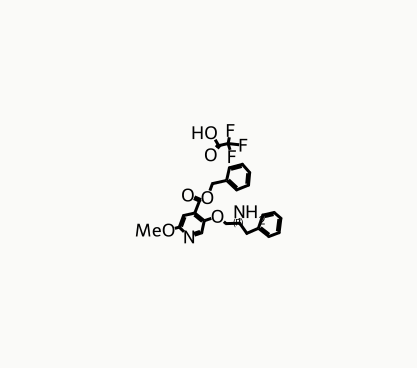 COc1cc(C(=O)OCc2ccccc2)c(OC[C@H](N)Cc2ccccc2)cn1.O=C(O)C(F)(F)F